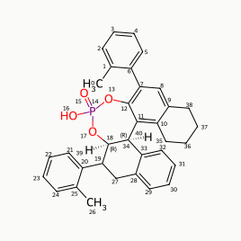 Cc1ccccc1-c1cc2c(c3c1OP(=O)(O)O[C@@H]1C(c4ccccc4C)Cc4ccccc4[C@H]31)CCCC2